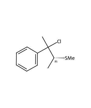 CS[C@H](C)C(C)(Cl)c1ccccc1